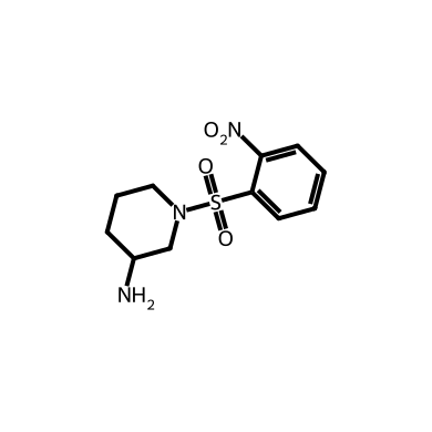 NC1CCCN(S(=O)(=O)c2ccccc2[N+](=O)[O-])C1